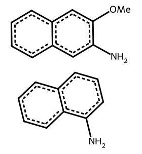 COc1cc2ccccc2cc1N.Nc1cccc2ccccc12